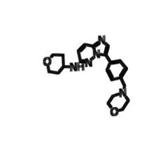 c1cc(-c2cnc3ccc(NC4CCOCC4)nn23)ccc1CN1CCOCC1